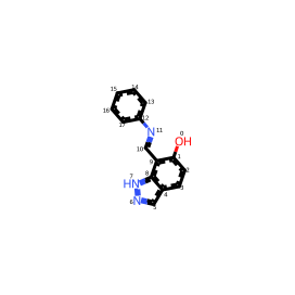 Oc1ccc2cn[nH]c2c1C=Nc1ccccc1